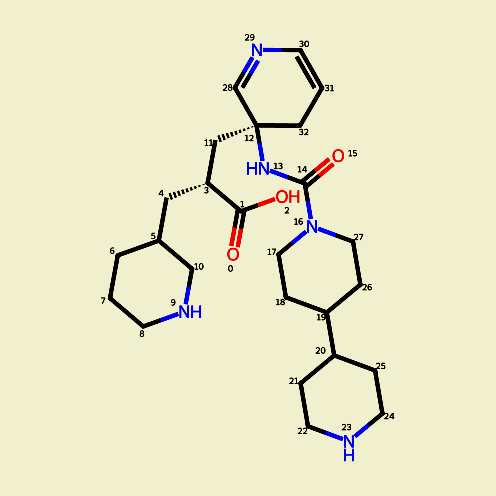 O=C(O)[C@H](CC1CCCNC1)C[C@]1(NC(=O)N2CCC(C3CCNCC3)CC2)C=NC=CC1